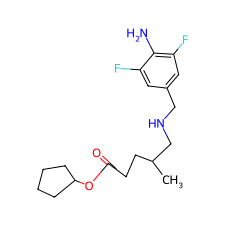 CC(CCC(=O)OC1CCCC1)CNCc1cc(F)c(N)c(F)c1